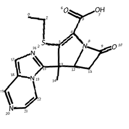 CCSC1=C(C(=O)O)N2C(=O)CC2C1(C)c1ncc2cnccn12